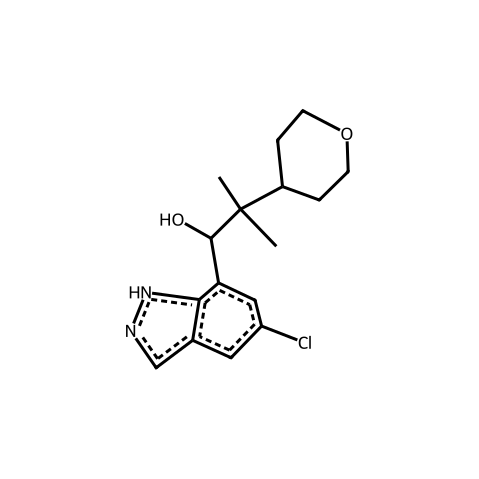 CC(C)(C1CCOCC1)C(O)c1cc(Cl)cc2cn[nH]c12